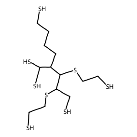 SCCCCC(C(S)S)C(SCCS)C(CS)SCCS